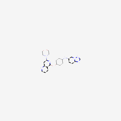 c1cnc2cc(N3CCOCC3)nc(OC3CCC(Nc4ccc5ncnn5c4)CC3)c2c1